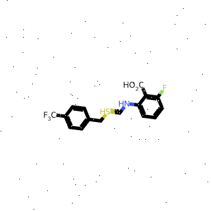 O=C(O)c1c(F)cccc1NC=[SH]Cc1ccc(C(F)(F)F)cc1